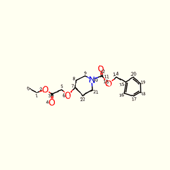 CCOC(=O)COC1CCN(C(=O)OCc2ccccc2)CC1